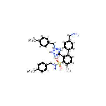 COc1ccc(CNS(=O)(=O)c2c(C(F)(F)F)ccc(-c3ccc(CN)cc3)c2-c2nnn(Cc3ccc(OC)cc3)n2)cc1